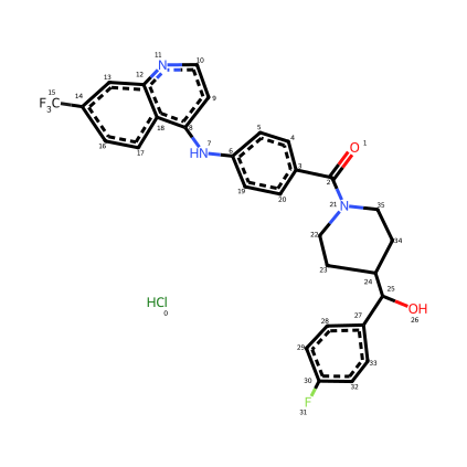 Cl.O=C(c1ccc(Nc2ccnc3cc(C(F)(F)F)ccc23)cc1)N1CCC(C(O)c2ccc(F)cc2)CC1